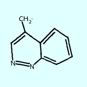 [CH2]c1cnnc2ccccc12